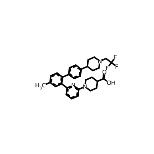 Cc1ccc(-c2ccc(C3CCN(CC(F)(F)F)CC3)cc2)c(-c2cccc(N3CCC(C(=O)O)CC3)n2)c1